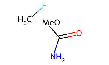 CF.COC(N)=O